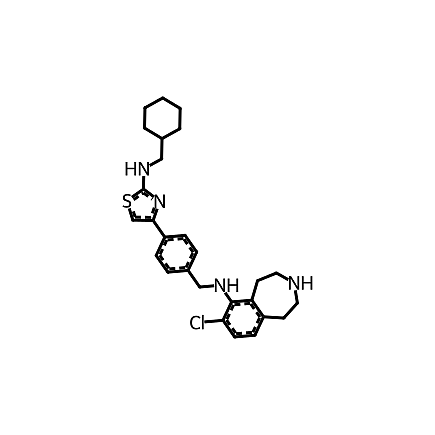 Clc1ccc2c(c1NCc1ccc(-c3csc(NCC4CCCCC4)n3)cc1)CCNCC2